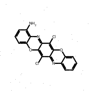 Nc1cccc2c1N=c1c(Cl)c3c(c(Cl)c1O2)=Nc1ccccc1O3